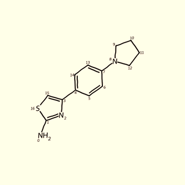 Nc1nc(-c2ccc(N3CCCC3)cc2)cs1